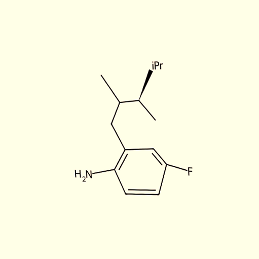 CC(C)[C@@H](C)C(C)Cc1cc(F)ccc1N